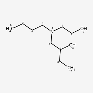 CCCCN(CCO)CC(O)CC